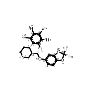 [2H]c1c([2H])c([C@H]2CCNC[C@@H]2COc2ccc3c(c2)OC([2H])([2H])O3)c([2H])c([2H])c1F